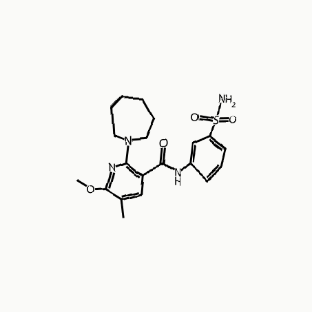 COc1nc(N2CCCCCC2)c(C(=O)Nc2cccc(S(N)(=O)=O)c2)cc1C